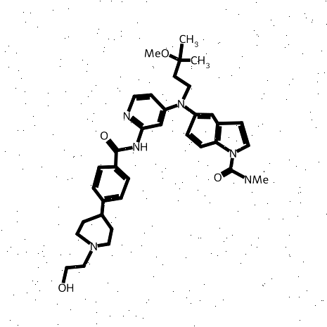 CNC(=O)n1ccc2cc(N(CCC(C)(C)OC)c3ccnc(NC(=O)c4ccc(C5CCN(CCO)CC5)cc4)c3)ccc21